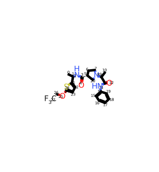 CC(NC(=O)[C@@H]1CCN(C(C)C(=O)Nc2ccccc2)C1)c1ccc(OCC(F)(F)F)s1